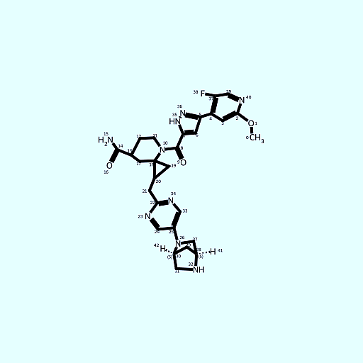 COc1cc(-c2cc(C(=O)N3CCC(C(N)=O)CC34CC4Cc3ncc(N4C[C@@H]5C[C@H]4CN5)cn3)[nH]n2)c(F)cn1